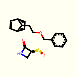 C1=CC2=CC=C1C2CCOCc1ccccc1.O=S=C1CNC1=O